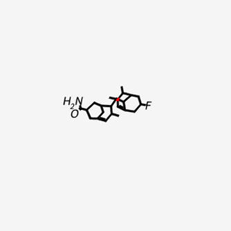 CC1C=C2CC(F)CC(C2CC2C(C)C=C3CC(C(N)=O)CC2C3)C1C